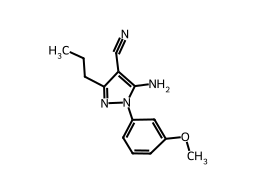 CCCc1nn(-c2cccc(OC)c2)c(N)c1C#N